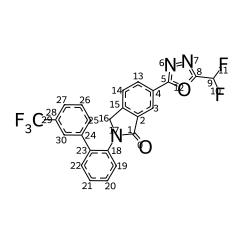 O=C1c2cc(-c3nnc(C(F)F)o3)ccc2CN1c1ccccc1-c1cccc(C(F)(F)F)c1